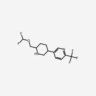 FC(F)OCC1CCC(c2ccc(C(F)(F)F)nc2)CN1